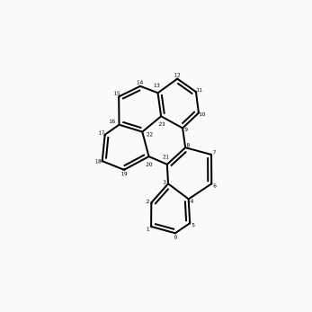 c1ccc2c(c1)ccc1c3cccc4ccc5cccc(c21)c5c43